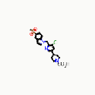 CS(=O)(=O)c1ccc2c(ccn2Cc2ncc(C3CCN(C(=O)O)CC3)cc2Cl)c1